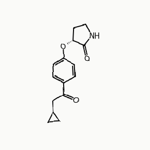 O=C(CC1CC1)c1ccc(O[C@@H]2CCNC2=O)cc1